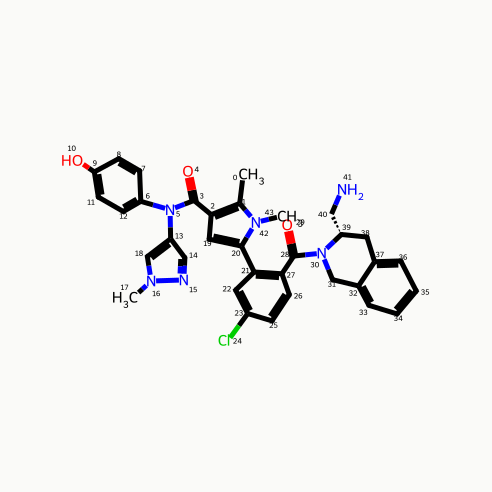 Cc1c(C(=O)N(c2ccc(O)cc2)c2cnn(C)c2)cc(-c2cc(Cl)ccc2C(=O)N2Cc3ccccc3C[C@H]2CN)n1C